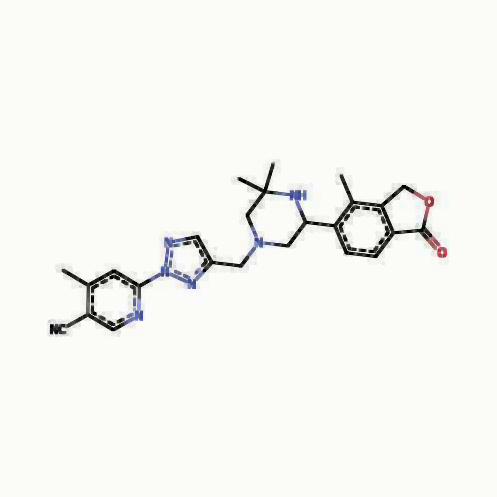 Cc1cc(-n2ncc(CN3CC(c4ccc5c(c4C)COC5=O)NC(C)(C)C3)n2)ncc1C#N